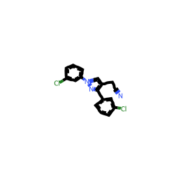 N#CCc1cn(-c2cccc(Cl)c2)nc1-c1cccc(Cl)c1